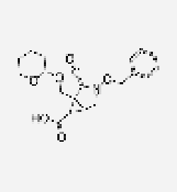 O=C=C1N(OCc2ccccc2)CC2C(C(=O)O)C12COC1CCCCO1